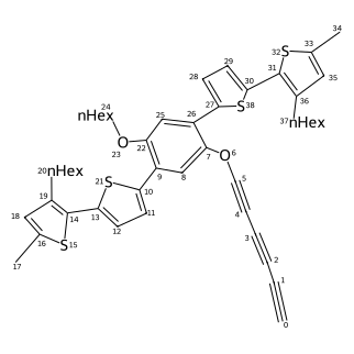 C#CC#CC#COc1cc(-c2ccc(-c3sc(C)cc3CCCCCC)s2)c(OCCCCCC)cc1-c1ccc(-c2sc(C)cc2CCCCCC)s1